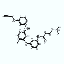 C#CCOc1cccc(Nc2ncc(C)c(Oc3cccc(NC(=O)/C=C/CN(C)C)c3)n2)c1